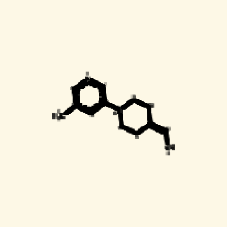 Cc1cncc(N2CCC(=CC#N)CC2)c1